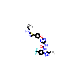 CCCNc1ncc(-c2ccc(Oc3ncc(NC(=O)Nc4cc(C(F)(F)F)ccc4-n4cc(C)nn4)cn3)cc2)s1